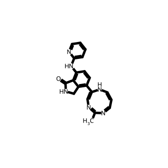 Cc1nccc[nH]c(-c2ccc(Nc3ccccn3)c3c2CNC3=O)cn1